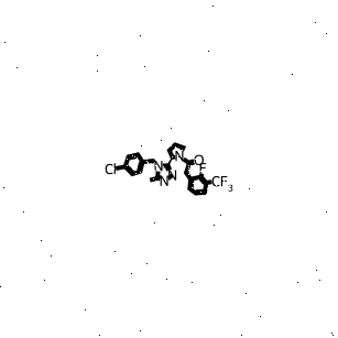 Cc1nnc([C@H]2CCCN2C(=O)Cc2cccc(C(F)(F)F)c2F)n1Cc1ccc(Cl)cc1